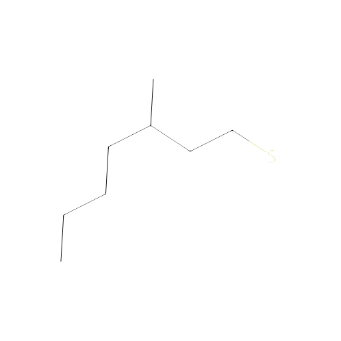 CCCCC(C)CC[S]